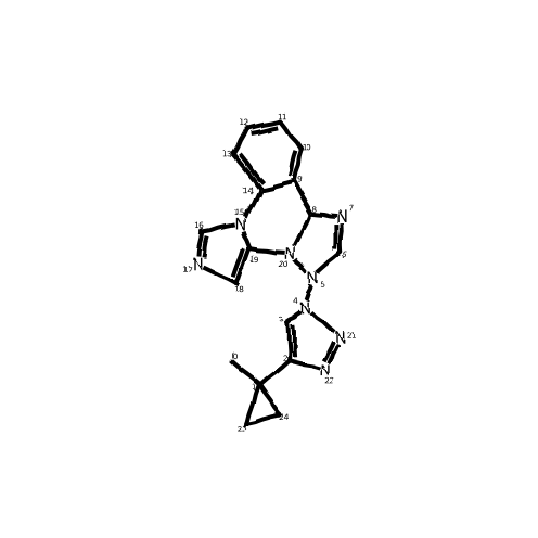 CC1(c2cn(N3C=NC4c5ccccc5-n5cncc5N43)nn2)CC1